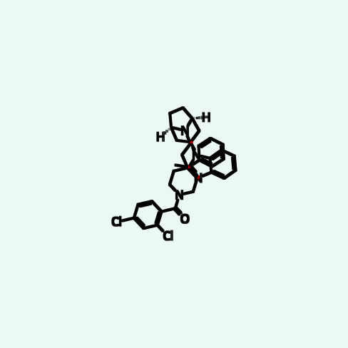 Cc1nc2ccccc2n1[C@H]1C[C@H]2CC[C@@H](C1)N2CCC1(c2ccccc2)CCN(C(=O)c2ccc(Cl)cc2Cl)CC1